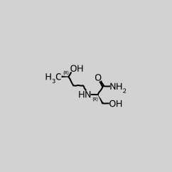 C[C@@H](O)CCN[C@H](CO)C(N)=O